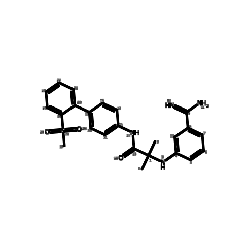 CC(C)(Nc1cccc(C(=N)N)c1)C(=O)Nc1ccc(-c2ccccc2S(C)(=O)=O)cc1